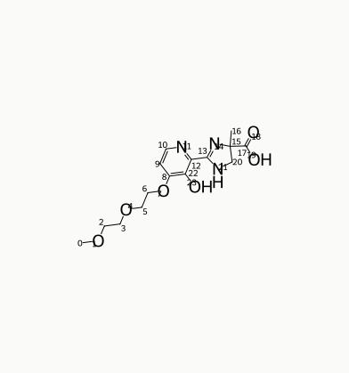 COCCOCCOc1ccnc(C2=NC(C)(C(=O)O)CN2)c1O